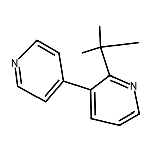 CC(C)(C)c1ncccc1-c1ccncc1